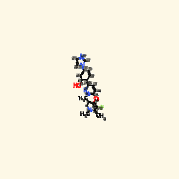 CN1CC2(C)CC[C@@]1(C)C(F)C2Oc1ccc(-c2ccc(-n3ccnc3)cc2O)nn1